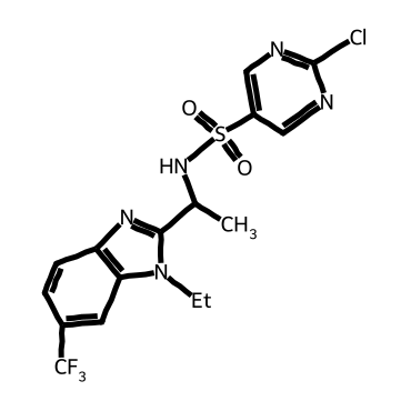 CCn1c(C(C)NS(=O)(=O)c2cnc(Cl)nc2)nc2ccc(C(F)(F)F)cc21